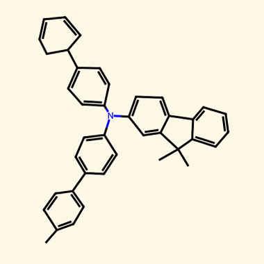 Cc1ccc(-c2ccc(N(c3ccc(C4C=CC=CC4)cc3)c3ccc4c(c3)C(C)(C)c3ccccc3-4)cc2)cc1